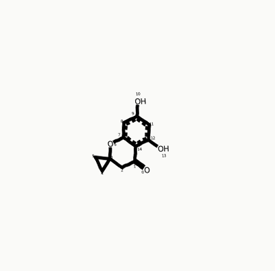 O=C1CC2(CC2)Oc2cc(O)cc(O)c21